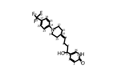 O=c1ccc(C(O)CCC=C2CCN(c3ccc(C(F)(F)F)cc3)CC2)c[nH]1